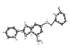 Cc1cccc(COc2cc(N)n3nc(-c4ccccn4)nc3c2)n1